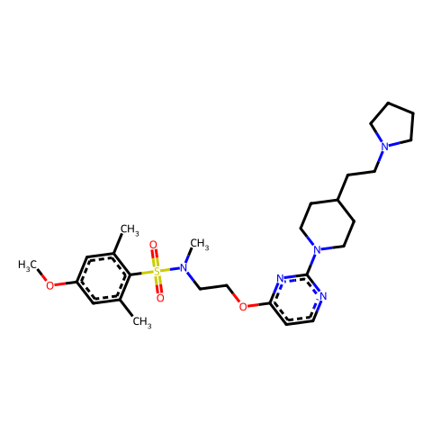 COc1cc(C)c(S(=O)(=O)N(C)CCOc2ccnc(N3CCC(CCN4CCCC4)CC3)n2)c(C)c1